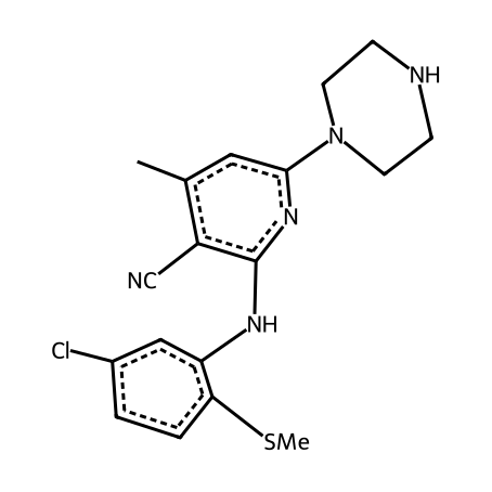 CSc1ccc(Cl)cc1Nc1nc(N2CCNCC2)cc(C)c1C#N